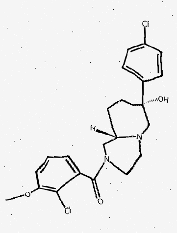 COc1cccc(C(=O)N2CCN3C[C@](O)(c4ccc(Cl)cc4)CC[C@H]3C2)c1Cl